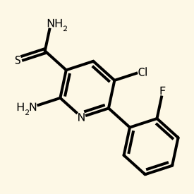 NC(=S)c1cc(Cl)c(-c2ccccc2F)nc1N